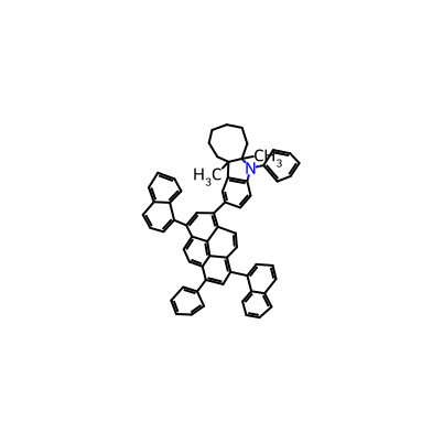 CC12CCCCCCC1(C)N(c1ccccc1)c1ccc(-c3cc(-c4cccc5ccccc45)c4ccc5c(-c6ccccc6)cc(-c6cccc7ccccc67)c6ccc3c4c56)cc12